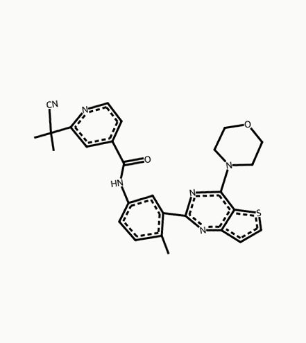 Cc1ccc(NC(=O)c2ccnc(C(C)(C)C#N)c2)cc1-c1nc(N2CCOCC2)c2sccc2n1